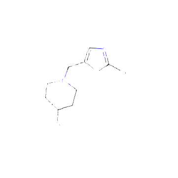 Cc1ncc(CN2CCC(C#N)CC2)s1